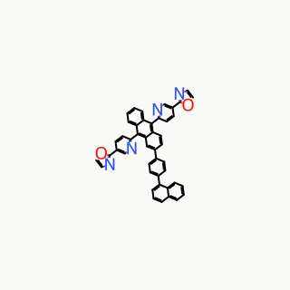 c1ccc2c(-c3ccc(-c4ccc5c(-c6ccc(-c7ncco7)cn6)c6ccccc6c(-c6ccc(-c7ncco7)cn6)c5c4)cc3)cccc2c1